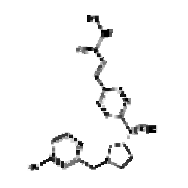 Cl.Cl.O=C(/C=C/c1cnc(N[C@@H]2CCN(Cc3cccc(O)c3)C2)cn1)NO